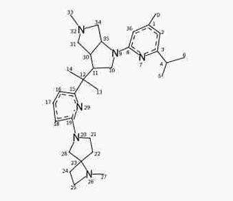 Cc1cc(C(C)C)nc(N2CC(C(C)(C)c3cccc(N4CCC5(CCN5C)C4)n3)C3CN(C)CC32)c1